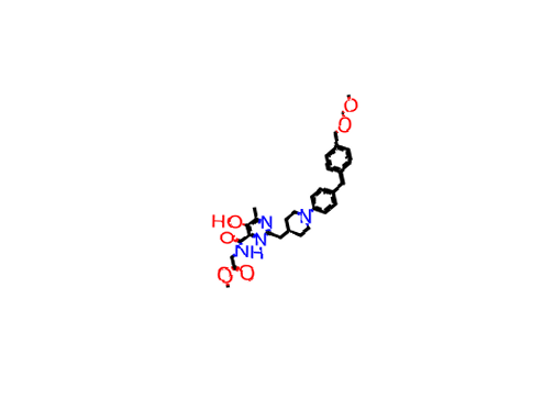 COCOCc1ccc(Cc2ccc(N3CCC(Cc4nc(C)c(O)c(C(=O)NCC(=O)OC)n4)CC3)cc2)cc1